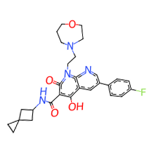 O=C(NC1CC2(CC2)C1)c1c(O)c2cc(-c3ccc(F)cc3)cnc2n(CCN2CCCOCC2)c1=O